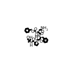 CC(C)(CO)NC(=O)[C@@H]1CCCN1C(=O)C(O)[C@H](Cc1ccccc1)NC(=O)[C@H](CC(N)=O)NC(=O)OCc1ccccc1